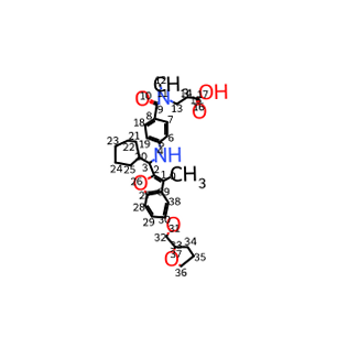 Cc1c(C(Nc2ccc(C(=O)N(C)CCC(=O)O)cc2)C2CCCCC2)oc2ccc(OCC3CCCO3)cc12